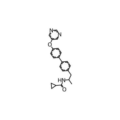 CC(Cc1ccc(-c2ccc(Oc3cncnc3)cc2)cc1)NC(=O)C1CC1